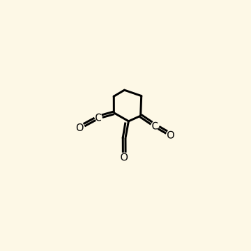 O=C=C1CCCC(=C=O)C1=C=O